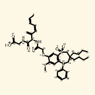 C=C(/C=C\C=C/C)[C@@H](NC(=O)COc1cc2c(cc1SC)N(c1ccccc1)CC(CCCC)(CCCC)CS2(=O)=O)C(=O)NCC(=O)O